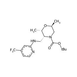 C[C@@H]1O[C@@H](C)CN(C(=O)OC(C)(C)C)[C@@H]1CNc1cc(C(F)(F)F)ccn1